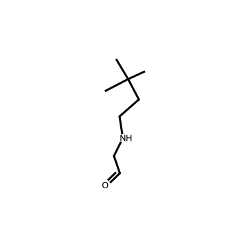 CC(C)(C)CCNCC=O